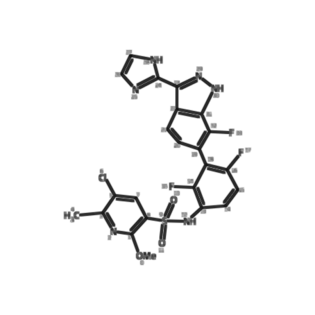 COc1nc(C)c(Cl)cc1S(=O)(=O)Nc1ccc(F)c(-c2ccc3c(-c4ncc[nH]4)n[nH]c3c2F)c1F